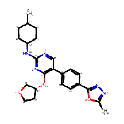 Cc1nnc(-c2ccc(-c3cnc(NC4CCC(C)CC4)nc3O[C@@H]3CCOC3)cc2)o1